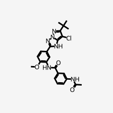 COc1ccc(-c2nn3nc(C(C)(C)C)c(Cl)c3[nH]2)cc1NC(=O)c1cccc(NC(C)=O)c1